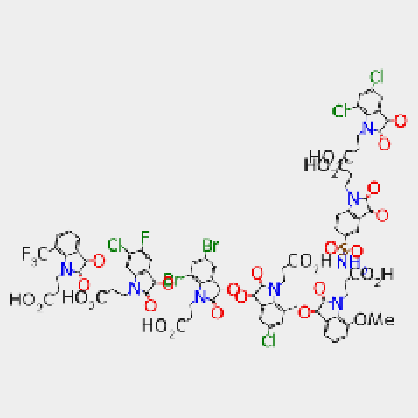 COc1cccc2c1N(CCC(=O)O)C(=O)C2=O.Cc1cc(Cl)cc2c1N(CCC(=O)O)C(=O)C2=O.NS(=O)(=O)c1ccc2c(c1)C(=O)C(=O)N2CCC(=O)O.O=C(O)CCN1C(=O)C(=O)c2cc(Br)cc(Br)c21.O=C(O)CCN1C(=O)C(=O)c2cc(Cl)cc(Cl)c21.O=C(O)CCN1C(=O)C(=O)c2cc(F)c(Cl)cc21.O=C(O)CCN1C(=O)C(=O)c2cccc(C(F)(F)F)c21